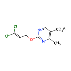 Cc1nc(OCC=C(Cl)Cl)ncc1C(=O)O